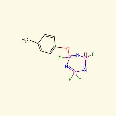 Cc1ccc(OP2(F)=N[PH](F)=NP(F)(F)=N2)cc1